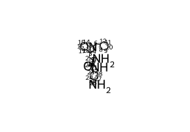 N[C@@H](Cc1cn(CC2CCCCC2)c2ccccc12)C(=O)N[C@H]1CC[C@H](N)CC1